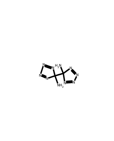 NC1(C2(N)N=NN=N2)N=NN=N1